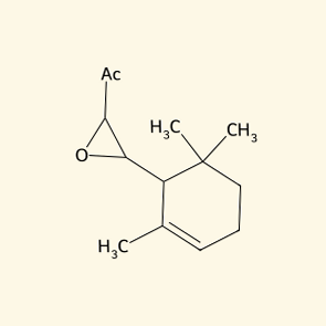 CC(=O)C1OC1C1C(C)=CCCC1(C)C